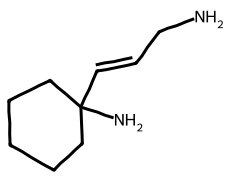 NCC=CC1(N)CCCCC1